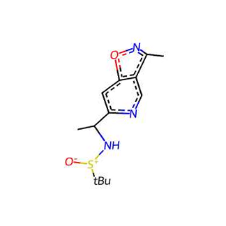 Cc1noc2cc(C(C)N[S+]([O-])C(C)(C)C)ncc12